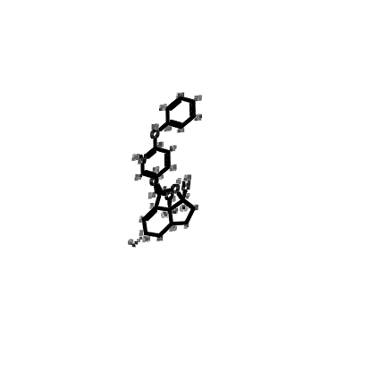 C[C@@H]1C=C2C(=O)O[C@@H]3CCC(C1)[C@]23OCc1ccc(Oc2ccccc2)nc1